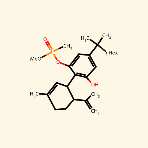 C=C(C)C1CCC(C)=CC1c1c(O)cc(C(C)(C)CCCCCC)cc1OP(C)(=O)OC